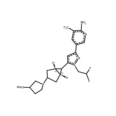 COC1CCN(C2C[C@@H]3C(c4cc(-c5cnc(N)c(C(F)(F)F)c5)nn4CC(F)F)[C@@H]3C2)C1